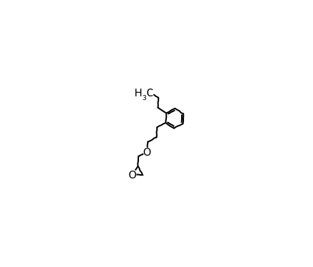 CCCc1ccccc1CCCOCC1CO1